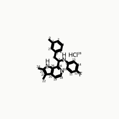 Cc1cccc(CC(Nc2ccc(F)cc2)c2nccc3c(C)c(C)[nH]c23)c1.Cl